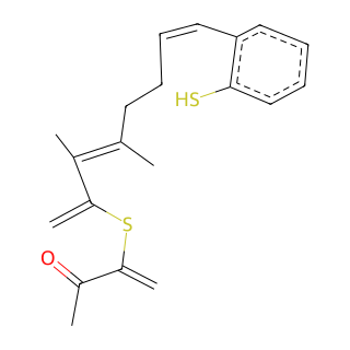 C=C(SC(=C)/C(C)=C(\C)CC/C=C\c1ccccc1S)C(C)=O